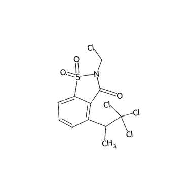 CC(c1cccc2c1C(=O)N(CCl)S2(=O)=O)C(Cl)(Cl)Cl